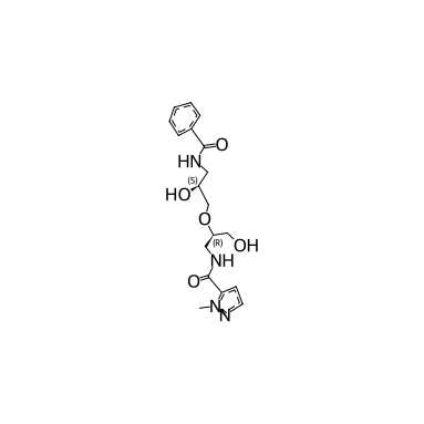 Cn1nccc1C(=O)NC[C@H](CO)OC[C@@H](O)CNC(=O)c1ccccc1